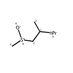 CCCC(C)C[S+](C)[O-]